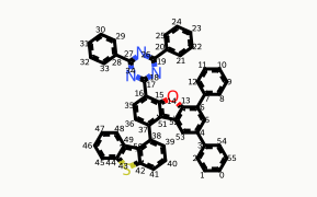 c1ccc(-c2cc(-c3ccccc3)c3oc4c(-c5nc(-c6ccccc6)nc(-c6ccccc6)n5)ccc(-c5cccc6sc7ccccc7c56)c4c3c2)cc1